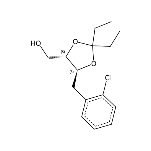 CCC1(CC)O[C@@H](CO)[C@H](Cc2ccccc2Cl)O1